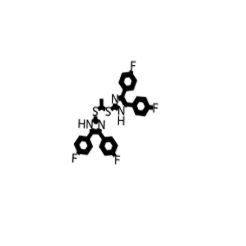 CC(Sc1nc(-c2ccc(F)cc2)c(-c2ccc(F)cc2)[nH]1)Sc1nc(-c2ccc(F)cc2)c(-c2ccc(F)cc2)[nH]1